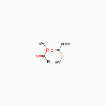 CCCCCCC(=O)OCCC.CCCOC(=O)CC